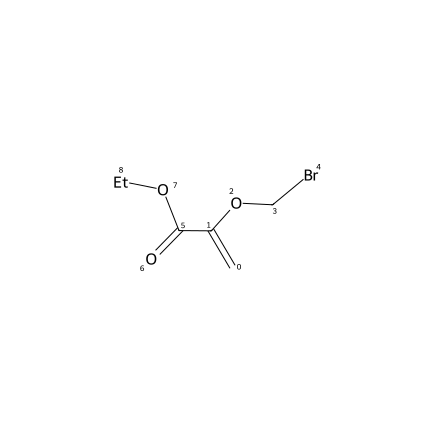 C=C(OCBr)C(=O)OCC